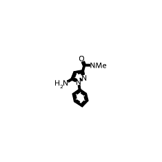 CNC(=O)c1cc(N)n(-c2ccccc2)n1